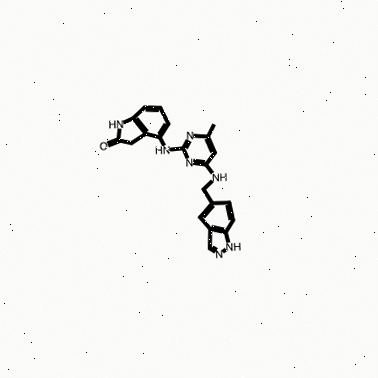 Cc1cc(NCc2ccc3[nH]ncc3c2)nc(Nc2cccc3c2CC(=O)N3)n1